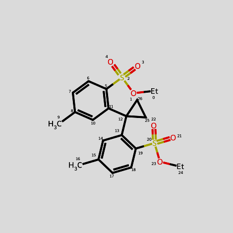 CCOS(=O)(=O)c1ccc(C)cc1C1(c2cc(C)ccc2S(=O)(=O)OCC)CC1